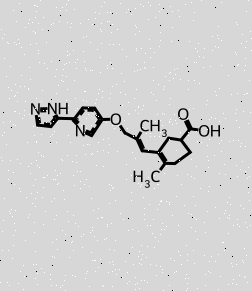 CC1=C(/C=C(\C)COc2ccc(-c3ccn[nH]3)nc2)CC(C(=O)O)CC1